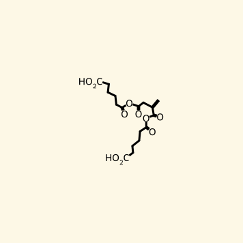 C=C(CC(=O)OC(=O)CCCCC(=O)O)C(=O)OC(=O)CCCCC(=O)O